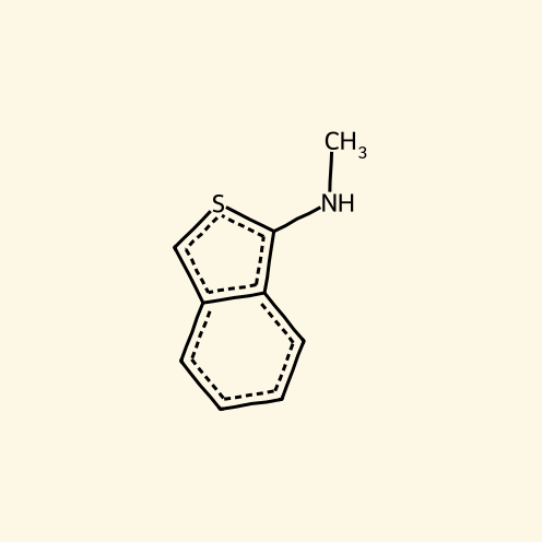 CNc1scc2ccccc12